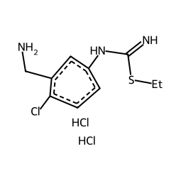 CCSC(=N)Nc1ccc(Cl)c(CN)c1.Cl.Cl